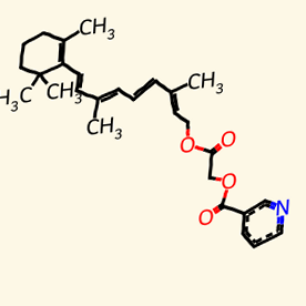 CC(C=CC1=C(C)CCCC1(C)C)=CC=CC(C)=CCOC(=O)COC(=O)c1cccnc1